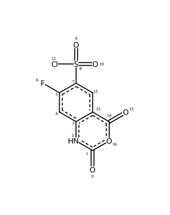 O=c1[nH]c2cc(F)c(S(=O)(=O)Cl)cc2c(=O)o1